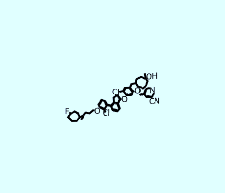 CC1(O)CCCCC(Cc2cc(Cl)c(O[C@H]3CCc4c(-c5cccc(OCCCC6C[C@@]67CCCC(F)CC7)c5Cl)cccc43)cc2OCC2=CCN=CC(C#N)=C2)CC1